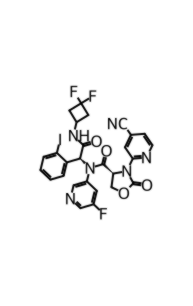 N#Cc1ccnc(N2C(=O)OC[C@H]2C(=O)N(c2cncc(F)c2)[C@H](C(=O)NC2CC(F)(F)C2)c2ccccc2I)c1